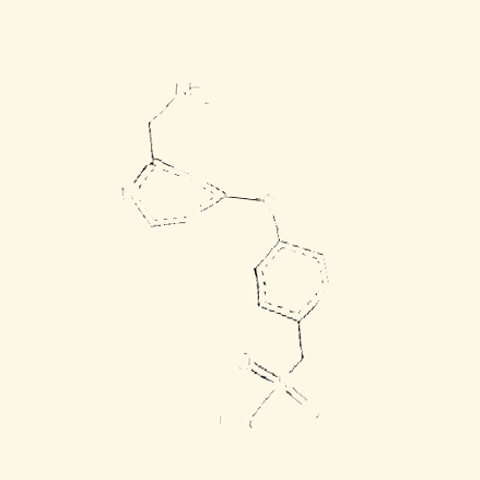 NCc1cc(Oc2ccc(CS(N)(=O)=O)cc2)ccn1